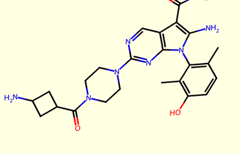 Cc1ccc(O)c(C)c1-n1c(N)c(C(N)=O)c2cnc(N3CCN(C(=O)C4CC(N)C4)CC3)nc21